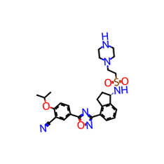 CC(C)Oc1ccc(-c2nc(-c3cccc4c3CC[C@@H]4NS(=O)(=O)CCN3CCNCC3)no2)cc1C#N